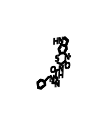 CN1C(=O)[C@@H](NC(=O)c2cncn2Cc2ccccc2)CSc2cc3[nH]ccc3cc21